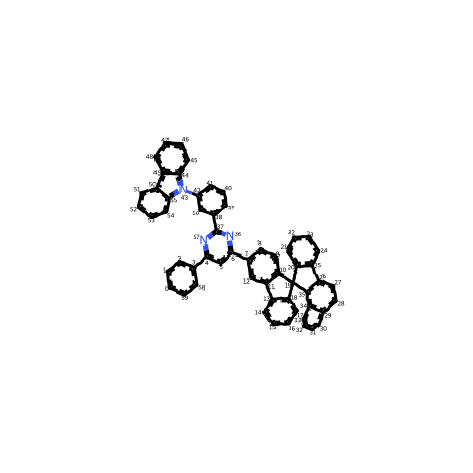 c1ccc(-c2cc(-c3ccc4c(c3)-c3ccccc3C43c4ccccc4-c4ccc5ccccc5c43)nc(-c3cccc(-n4c5ccccc5c5ccccc54)c3)n2)cc1